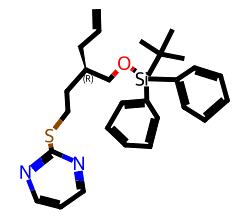 C=CC[C@H](CCSc1ncccn1)CO[Si](c1ccccc1)(c1ccccc1)C(C)(C)C